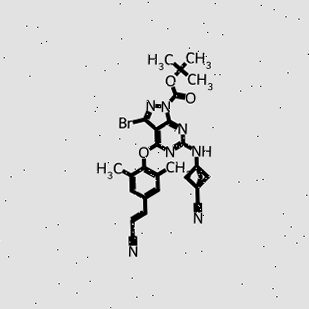 Cc1cc(/C=C/C#N)cc(C)c1Oc1nc(NC23CC(C#N)(C2)C3)nc2c1c(Br)nn2C(=O)OC(C)(C)C